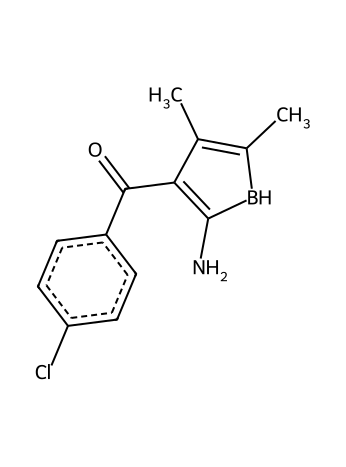 CC1=C(C)C(C(=O)c2ccc(Cl)cc2)=C(N)B1